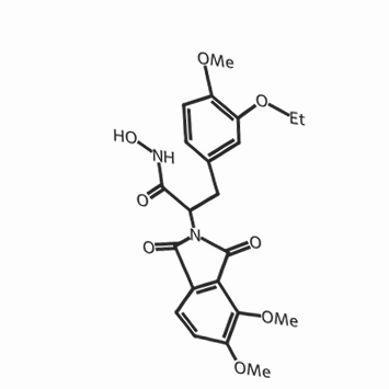 CCOc1cc(CC(C(=O)NO)N2C(=O)c3ccc(OC)c(OC)c3C2=O)ccc1OC